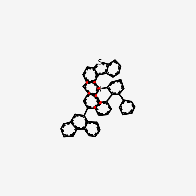 c1ccc(-c2ccccc2-c2c(-c3ccccc3)cccc2N(c2ccc(-c3cc4ccccc4c4ccccc34)cc2)c2cccc3sc4ccccc4c23)cc1